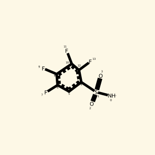 [NH]S(=O)(=O)c1cc(F)c(F)c(F)c1F